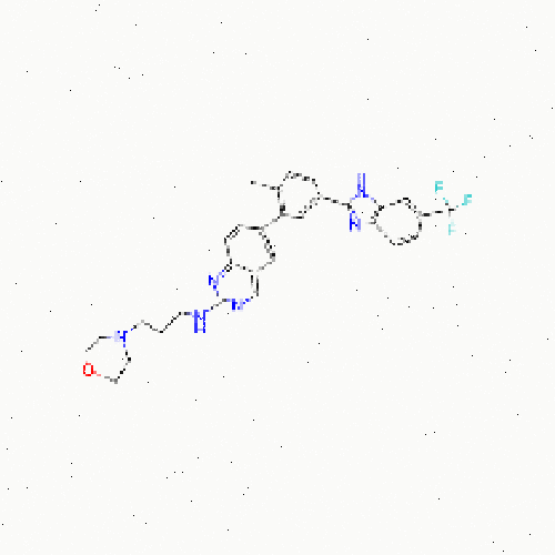 Cc1ccc(-c2nc3ccc(C(F)(F)F)cc3[nH]2)cc1-c1ccc2nc(NCCCN3CCOCC3)ncc2c1